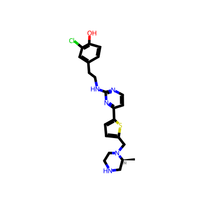 C[C@H]1CNCCN1Cc1ccc(-c2ccnc(NCCc3ccc(O)c(Cl)c3)n2)s1